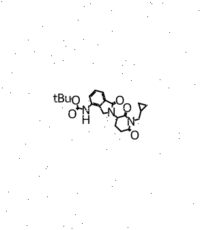 CC(C)(C)OC(=O)Nc1cccc2c1CN(C1CCC(=O)N(CC3CC3)C1=O)C2=O